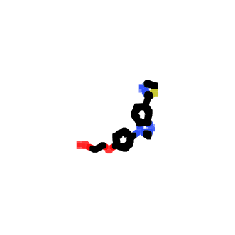 OCCOc1ccc(-n2cnc3cc(-c4nccs4)ccc32)cc1